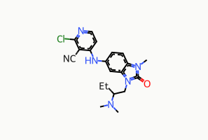 CCC(Cn1c(=O)n(C)c2ccc(Nc3ccnc(Cl)c3C#N)cc21)N(C)C